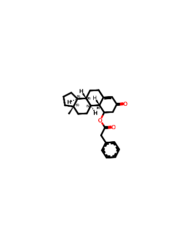 C[C@@]12CCC[C@H]1[C@@H]1CCC3=CC(=O)CC(OC(=O)Cc4ccccc4)[C@@H]3[C@H]1CC2